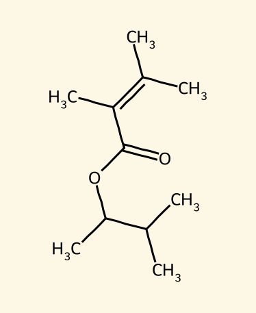 CC(C)=C(C)C(=O)OC(C)C(C)C